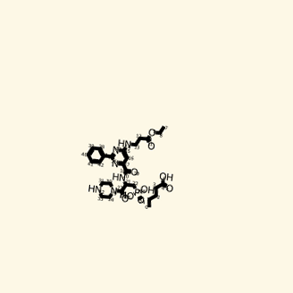 CCCCC(=O)O.CCOC(=O)CCNc1cc(C(=O)NC(CP(=O)(O)O)C(=O)N2CCNCC2)nc(-c2ccccc2)n1